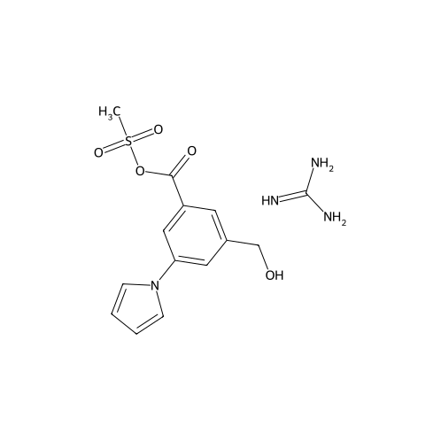 CS(=O)(=O)OC(=O)c1cc(CO)cc(-n2cccc2)c1.N=C(N)N